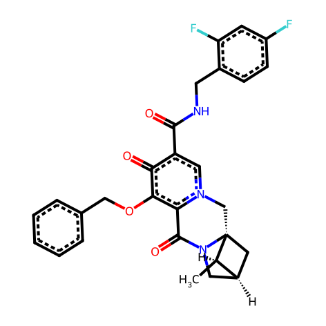 C[C@@H]1[C@@H]2CN3C(=O)c4c(OCc5ccccc5)c(=O)c(C(=O)NCc5ccc(F)cc5F)cn4C[C@]13C2